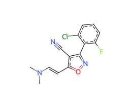 CN(C)C=Cc1onc(-c2c(F)cccc2Cl)c1C#N